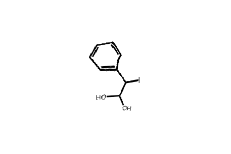 OC(O)C(I)c1ccccc1